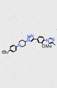 COc1cc(-c2cn(C3CCN(c4ccc(C(C)(C)C)cc4)CC3)nn2)ccc1-n1cnc(C)c1